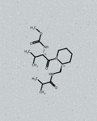 COC(=O)N[C@H](C(=O)N1CCCC[C@H]1CNC(=O)C(C)C)C(C)C